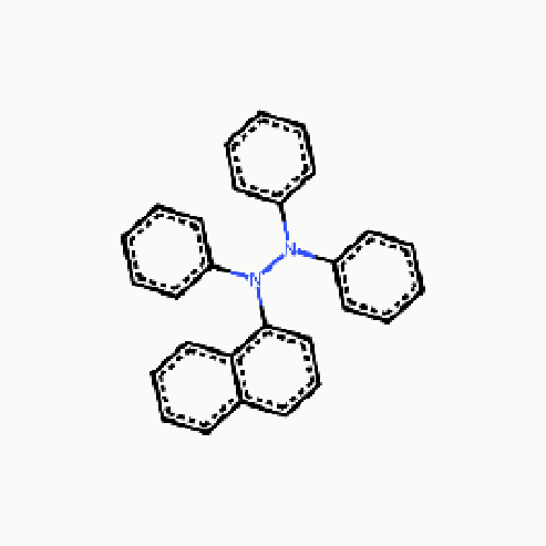 c1ccc(N(c2ccccc2)N(c2ccccc2)c2cccc3ccccc23)cc1